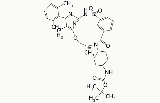 Cc1cccc(C)c1-c1nc2nc(c1C)OC[C@@H](C)N(C1CCC(NC(=O)OC(C)(C)C)CC1)C(=O)c1cccc(c1)S(=O)(=O)N2